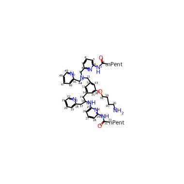 CCCCCC(=O)Nc1cccc(CN(Cc2cc(CC(Cc3ccccn3)Nc3cccc(NC(=O)CCCCC)n3)cc(OCCCCN)c2)Cc2ccccn2)n1